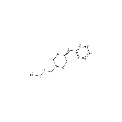 OCCCN1CCC(=Cc2ccccc2)CC1